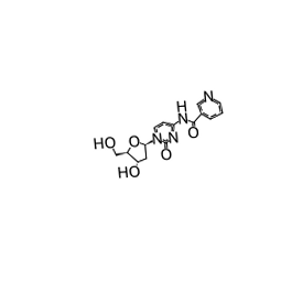 O=C(Nc1ccn([C@H]2C[C@H](O)[C@@H](CO)O2)c(=O)n1)c1cccnc1